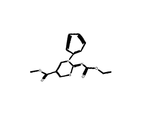 CCOC(=O)/N=C1\SCC(C(=O)OC)CN1c1ccccc1